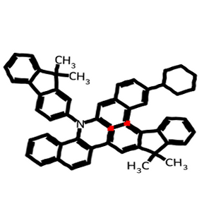 CC1(C)c2ccccc2-c2ccc(-c3ccc4ccccc4c3N(c3ccc4c(c3)C(C)(C)c3ccccc3-4)c3ccc4cc(C5CCCCC5)ccc4c3)cc21